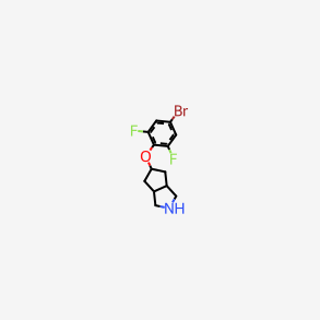 Fc1cc(Br)cc(F)c1OC1CC2CNCC2C1